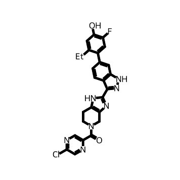 CCc1cc(O)c(F)cc1-c1ccc2c(-c3nc4c([nH]3)CCN(C(=O)c3cnc(Cl)cn3)C4)n[nH]c2c1